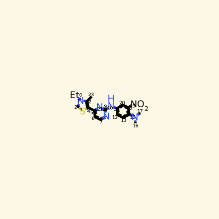 CCN1CSC(c2ccnc(Nc3ccc(N(C)C)c([N+](=O)[O-])c3)n2)=C1C